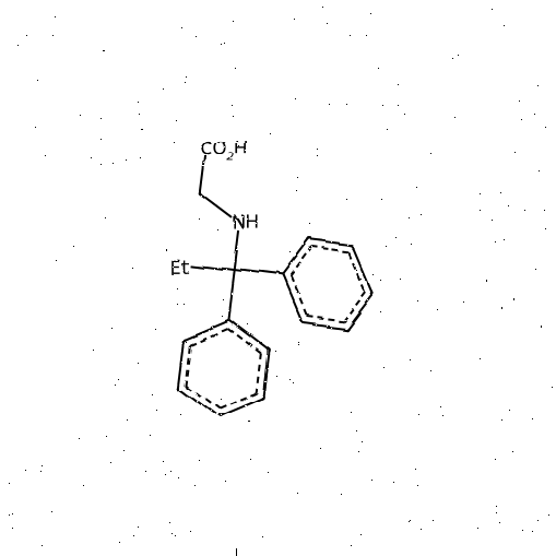 CCC(NCC(=O)O)(c1ccccc1)c1ccccc1